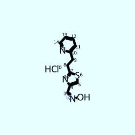 Cl.O/N=C\c1csc(CCc2ccccn2)n1